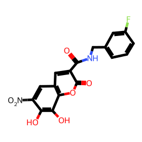 O=C(NCc1cccc(F)c1)c1cc2cc([N+](=O)[O-])c(O)c(O)c2oc1=O